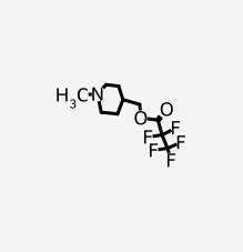 CN1CCC(COC(=O)C(F)(F)C(F)(F)F)CC1